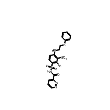 [2H]c1c(S(=O)(=O)NC(=O)c2cccnn2)ccc(NCCSc2ccccc2)c1[N+](=O)[O-]